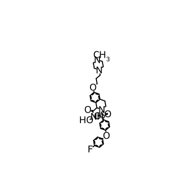 CN1CCN(CCCOc2ccc3c(c2)CCN(S(=O)(=O)c2ccc(Oc4ccc(F)cc4)cc2)C3C(=O)NO)CC1